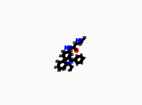 CC[n+]1c(-c2ccccc2)c2cc(NC(=O)CCNC)ccc2c2ccccc21